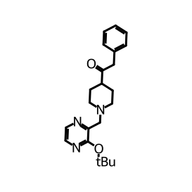 CC(C)(C)Oc1nccnc1CN1CCC(C(=O)Cc2ccccc2)CC1